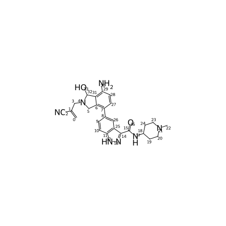 C=C(C#N)CN1Cc2c(-c3ccc4[nH]nc(C(=O)NC5CCN(C)CC5)c4c3)ccc(N)c2C1O